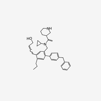 C=C(C1CCCNC1)N(Cc1cc(C=C=CCO)c(CCC)cc1-c1ccc(Cc2ccccc2)cc1)C1CC1